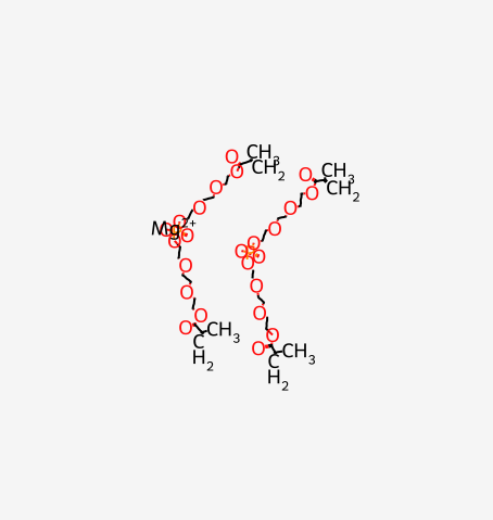 C=C(C)C(=O)OCCOCCOCCOP(=O)([O-])OCCOCCOCCOC(=O)C(=C)C.C=C(C)C(=O)OCCOCCOCCOP(=O)([O-])OCCOCCOCCOC(=O)C(=C)C.[Mg+2]